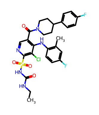 CCNC(=O)NS(=O)(=O)c1ncc(C(=O)N2CCC(c3ccc(F)cc3)CC2)c(Nc2ccc(F)cc2C)c1Cl